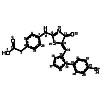 O=C(O)Cc1ccc(NC2=NC(=O)C(=Cc3cccn3-c3ccc(Br)cc3)S2)cc1